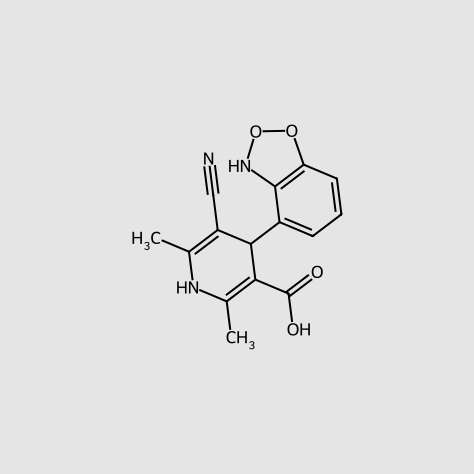 CC1=C(C#N)C(c2cccc3c2NOO3)C(C(=O)O)=C(C)N1